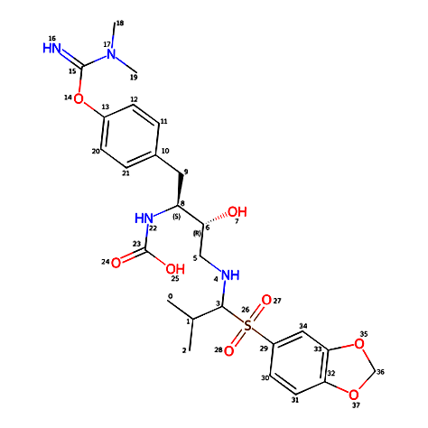 CC(C)C(NC[C@@H](O)[C@H](Cc1ccc(OC(=N)N(C)C)cc1)NC(=O)O)S(=O)(=O)c1ccc2c(c1)OCO2